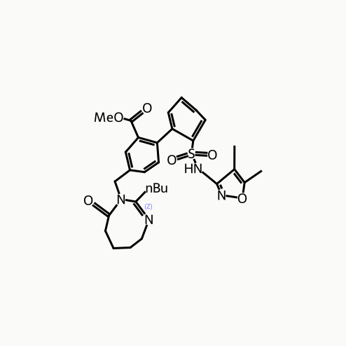 CCCC/C1=N/CCCCC(=O)N1Cc1ccc(-c2ccccc2S(=O)(=O)Nc2noc(C)c2C)c(C(=O)OC)c1